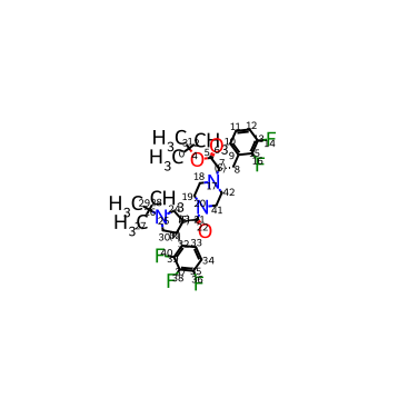 CC(C)(C)OC(=O)[C@H](Cc1cccc(F)c1F)N1CCN(C(=O)[C@@H]2CN(C(C)(C)C)C[C@H]2c2ccc(F)c(F)c2F)CC1